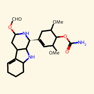 COC1C=C([C@H]2NC(OC=O)CC3C4=CCCCC4NC32)CC(OC)C1OC(N)=O